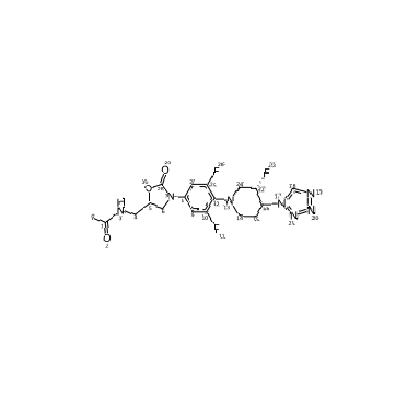 CC(=O)NCC1CN(c2cc(F)c(N3CCC(n4cnnn4)[C@@H](F)C3)c(F)c2)C(=O)O1